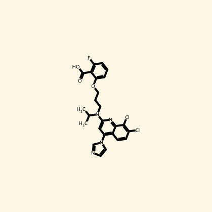 CC(C)N(CCCOc1cccc(F)c1C(=O)O)c1cc(-n2ccnc2)c2ccc(Cl)c(Cl)c2n1